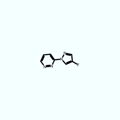 Fc1cnn(-c2cccnn2)c1